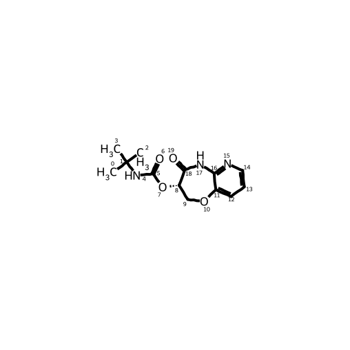 CC(C)(C)NC(=O)O[C@H]1COc2cccnc2NC1=O